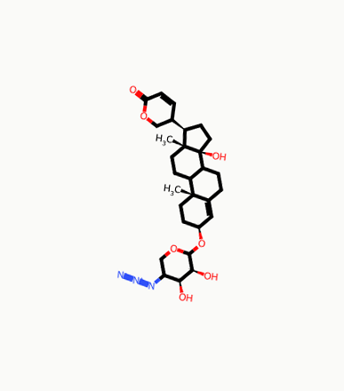 C[C@]12CC[C@H](OC3OCC(N=[N+]=[N-])[C@H](O)[C@@H]3O)C=C1CCC1C2CC[C@]2(C)[C@@H](C3C=CC(=O)OC3)CC[C@]12O